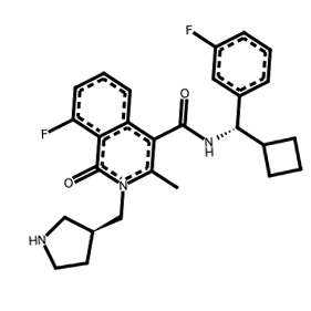 Cc1c(C(=O)N[C@H](c2cccc(F)c2)C2CCC2)c2cccc(F)c2c(=O)n1C[C@H]1CCNC1